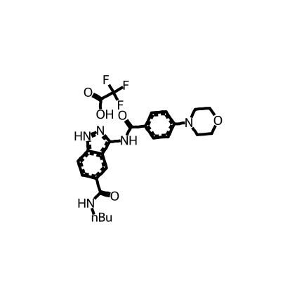 CCCCNC(=O)c1ccc2[nH]nc(NC(=O)c3ccc(N4CCOCC4)cc3)c2c1.O=C(O)C(F)(F)F